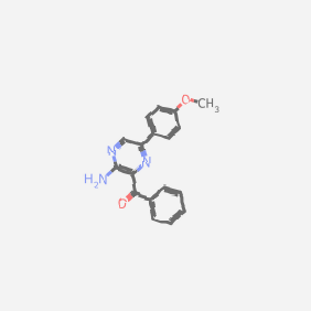 COc1ccc(-c2cnc(N)c(C(=O)c3ccccc3)n2)cc1